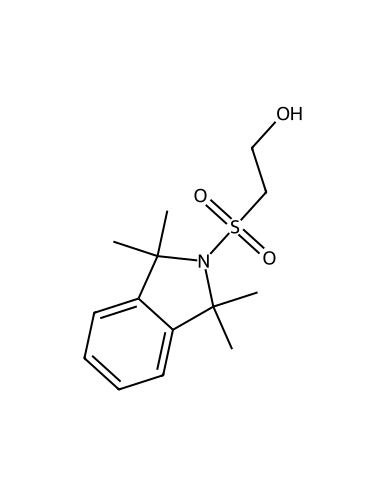 CC1(C)c2ccccc2C(C)(C)N1S(=O)(=O)CCO